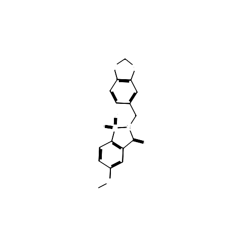 COc1ccc2c(c1)C(=O)N(Cc1ccc3c(c1)OCO3)S2(=O)=O